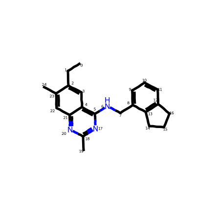 CCc1cc2c(NCc3cccc4c3CCC4)nc(C)nc2cc1C